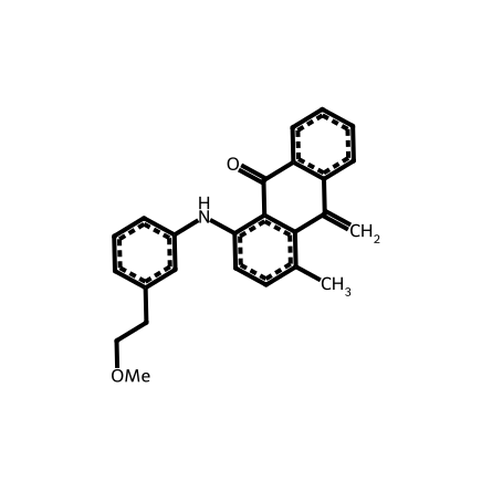 C=C1c2ccccc2C(=O)c2c(Nc3cccc(CCOC)c3)ccc(C)c21